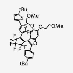 CCc1sc(-c2ccc(C(C)(C)C)s2)cc1C1=C(c2c(-c3ccc(C(C)(C)C)cc3)oc3cc(OCCOC)c(OCCOC)cc23)C(F)(F)C(F)(F)C1(F)F